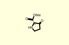 COC(=O)[C@H]1NCCC1=O